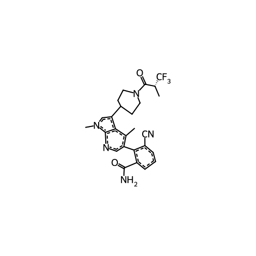 Cc1c(-c2c(C#N)cccc2C(N)=O)cnc2c1c(C1CCN(C(=O)[C@@H](C)C(F)(F)F)CC1)cn2C